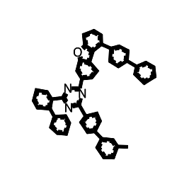 Cc1cccc(-c2ccc(-c3nc(-c4ccc5c(c4)oc4cccc(-c6ccc(-c7ccccc7)cc6)c45)nc(-c4ccccc4-c4ccccc4)n3)cc2)c1